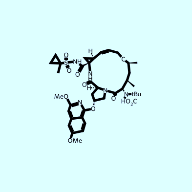 COc1ccc2c(O[C@@H]3C[C@H]4C(=O)N[C@]5(C(=O)NS(=O)(=O)C6(C)CC6)C[C@H]5/C=C\CC[C@@H](C)C[C@@H](C)[C@H](N(C(=O)O)C(C)(C)C)C(=O)N4C3)nc(OC)cc2c1